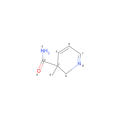 CC1(C(N)=O)C=CC=NC1